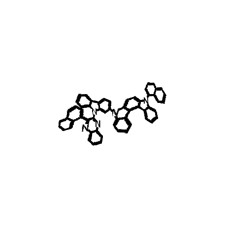 c1ccc2c(-c3nc4ccccc4nc3-n3c4ccccc4c4ccc(-n5c6ccccc6c6c7c8ccccc8n(-c8cccc9ccccc89)c7ccc65)cc43)cccc2c1